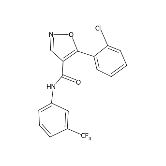 O=C(Nc1cccc(C(F)(F)F)c1)c1cnoc1-c1ccccc1Cl